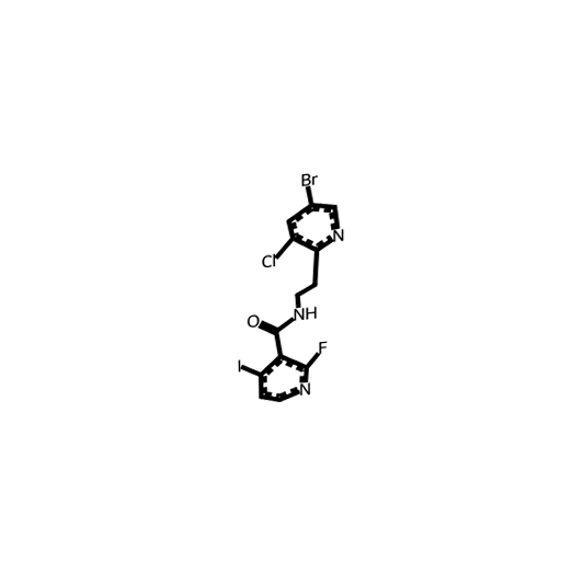 O=C(NCCc1ncc(Br)cc1Cl)c1c(I)ccnc1F